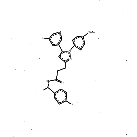 COc1ccc(-n2nc(CCC(=O)NC(C)c3ccc(F)cc3)cc2-c2cccc(F)c2)cc1